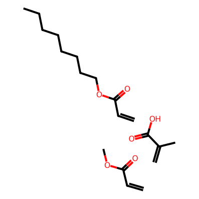 C=C(C)C(=O)O.C=CC(=O)OC.C=CC(=O)OCCCCCCCC